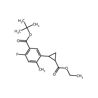 CCOC(=O)C1CC1c1cc(C(=O)OC(C)(C)C)c(F)cc1C